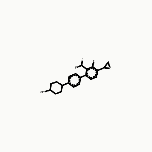 CCCC1CCC(c2ccc(-c3ccc(C4CO4)c(F)c3C(F)F)cc2)CC1